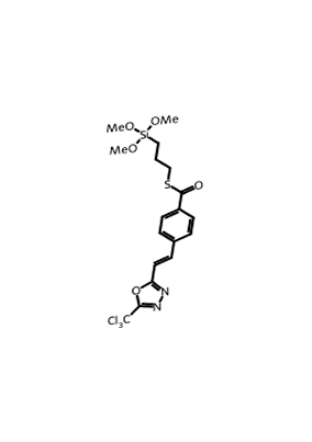 CO[Si](CCCSC(=O)c1ccc(C=Cc2nnc(C(Cl)(Cl)Cl)o2)cc1)(OC)OC